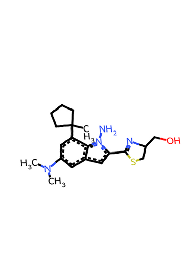 CN(C)c1cc(C2(C)CCCC2)c2c(c1)cc(C1=NC(CO)CS1)n2N